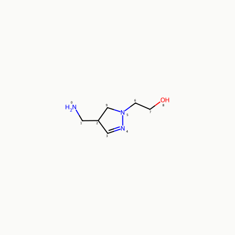 NCC1C=NN(CCO)C1